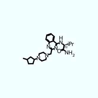 CC1CCC(N2CCN(Cc3nc(N[C@H](C(N)=O)C(C)C)c4ccccc4n3)CC2)C1